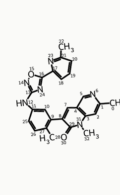 Cc1cc2c(cn1)cc(-c1cc(Nc3noc(-c4cccc(C)n4)n3)ccc1C)c(=O)n2C